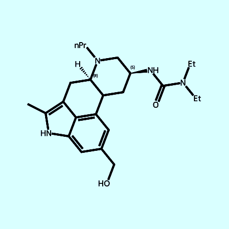 CCCN1C[C@@H](NC(=O)N(CC)CC)CC2c3cc(CO)cc4[nH]c(C)c(c34)C[C@H]21